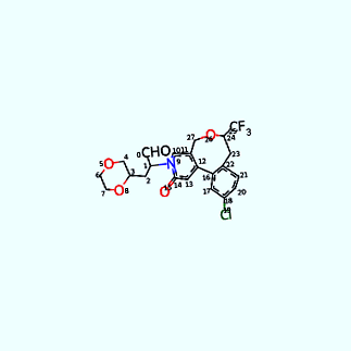 O=CC(CC1COCCO1)n1cc2c(cc1=O)-c1cc(Cl)ccc1CC(C(F)(F)F)OC2